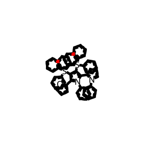 c1ccc(-n2cccc2-c2c(S(c3ccccc3)(c3ccccc3)c3ccccc3)c(S(c3ccccc3)(c3ccccc3)c3ccccc3)c(-c3ccco3)n2-c2ccccc2)cc1